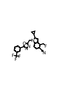 N#Cc1ccc2c(cc(C3CC3)n2Cc2nnc(-c3cccc(C(F)(F)F)c3)o2)c1CF